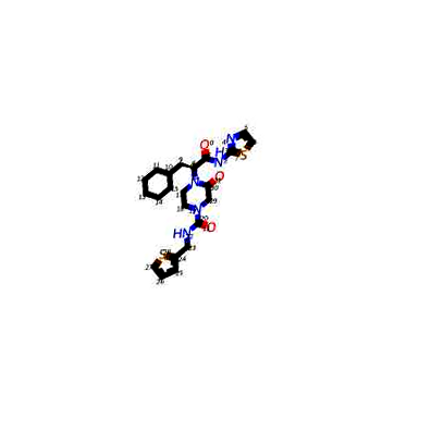 O=C(Nc1nccs1)[C@H](CC1CCCCC1)N1CCN(C(=O)NCc2cccs2)CC1=O